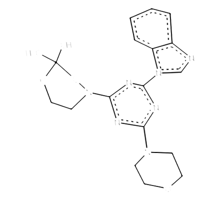 CC1(C)CN(c2nc(N3CCOCC3)nc(-n3cnc4ccccc43)n2)CCO1